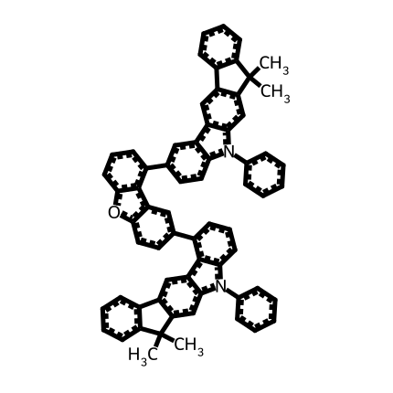 CC1(C)c2ccccc2-c2cc3c4cc(-c5cccc6oc7ccc(-c8cccc9c8c8cc%10c(cc8n9-c8ccccc8)C(C)(C)c8ccccc8-%10)cc7c56)ccc4n(-c4ccccc4)c3cc21